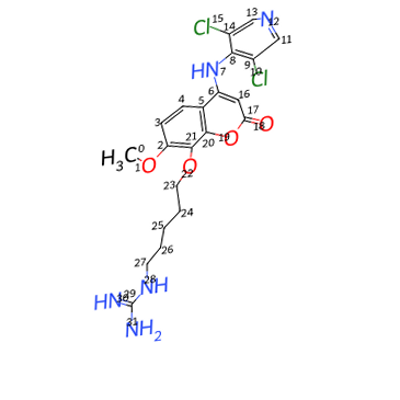 COc1ccc2c(Nc3c(Cl)cncc3Cl)cc(=O)oc2c1OCCCCCNC(=N)N